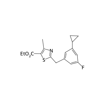 CCOC(=O)c1sc(Cc2cc(F)cc(C3CC3)c2)nc1C